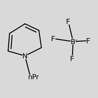 CCCN1C=CC=CC1.F[B-](F)(F)F